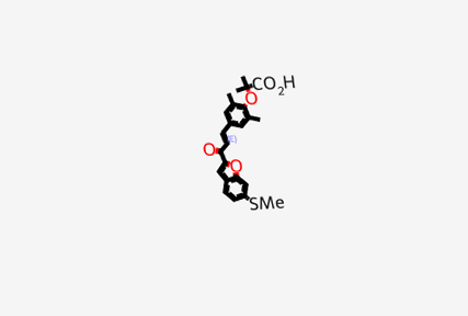 CSc1ccc2cc(C(=O)/C=C/c3cc(C)c(OC(C)(C)C(=O)O)c(C)c3)oc2c1